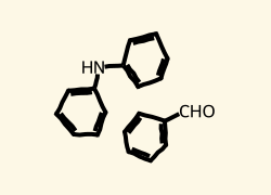 O=Cc1ccccc1.c1ccc(Nc2ccccc2)cc1